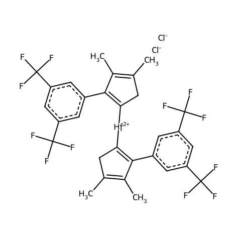 CC1=C(C)C(c2cc(C(F)(F)F)cc(C(F)(F)F)c2)=[C]([Hf+2][C]2=C(c3cc(C(F)(F)F)cc(C(F)(F)F)c3)C(C)=C(C)C2)C1.[Cl-].[Cl-]